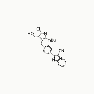 CCCCc1nc(Cl)c(CO)n1Cc1ccc(-c2nc3ccccn3c2C#N)cc1